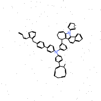 C=C/C=C\c1ccccc1Cc1ccc(-c2ccc(N(c3ccc(/C4=C/C=C\C/C=C\C=C/C4C)cc3)c3cccc(C4CCC=Cc5c4c4ccc6ccccc6c4n5C4=CCCC=C4)c3)cc2)cc1